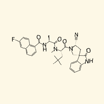 C[C@H](NC(=O)c1cccc2cc(F)ccc12)C(=O)N(C)[C@@H](CC(C)(C)C)C(=O)N1C[C@]2(C[C@H]1C#N)C(=O)Nc1ccccc12